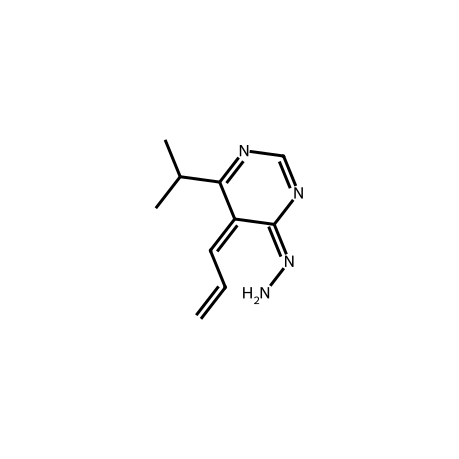 C=C/C=C1/C(C(C)C)=NC=N/C1=N/N